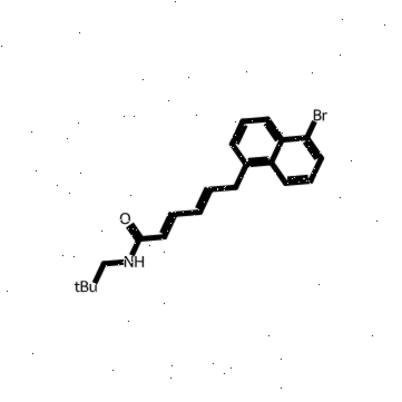 CC(C)(C)CNC(=O)/C=C/C=C/Cc1cccc2c(Br)cccc12